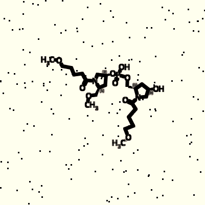 COCCCCC(=O)N1C[C@H](O)C[C@H]1COP(=O)(O)O[C@@H]1C[C@@H](COC)N(C(=O)CCCCOC)C1